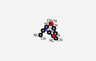 N#Cc1cc(C#N)cc(-c2ccc3c4ccc(-c5cc(C#N)cc(C#N)c5)cc4n(-c4ccc(-c5cccc(C#N)c5)c(-n5c6cc(-c7cc(C#N)cc(C#N)c7)ccc6c6ccc(-c7cc(C#N)cc(C#N)c7)cc65)c4C#N)c3c2)c1